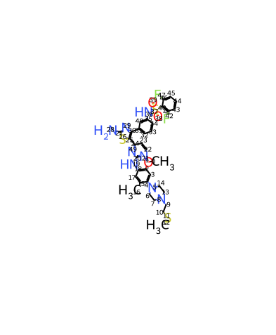 COc1cc(N2CCN(CCSC)CC2)c(C)cc1Nc1nccc(-c2sc(N)nc2-c2cccc(NS(=O)(=O)c3c(F)cccc3F)c2)n1